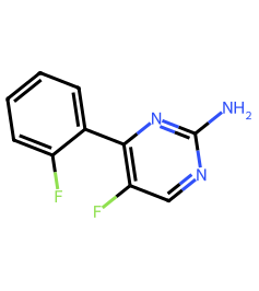 Nc1ncc(F)c(-c2ccccc2F)n1